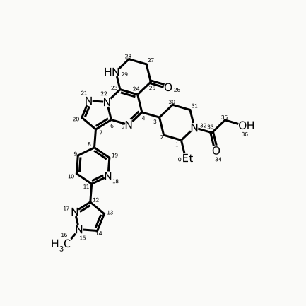 CCC1CC(c2nc3c(-c4ccc(-c5ccn(C)n5)nc4)cnn3c3c2C(=O)CCN3)CCN1C(=O)CO